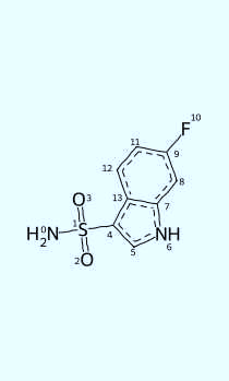 NS(=O)(=O)c1c[nH]c2cc(F)ccc12